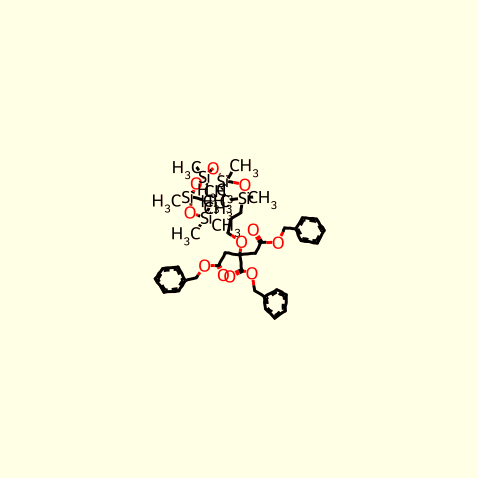 C[Si](C)(C)O[Si](C)(C)O[Si](C)(C)O[Si](C)(C)O[Si](C)(C)CCCOC(CC(=O)OCc1ccccc1)(CC(=O)OCc1ccccc1)C(=O)OCc1ccccc1